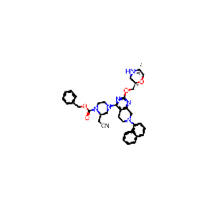 C[C@@H]1CO[C@@H](COc2nc3c(c(N4CCN(C(=O)OCc5ccccc5)C(CC#N)C4)n2)CCN(c2cccc4ccccc24)C3)CN1